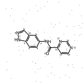 O=C(Nc1ccc2[nH]ncc2c1)c1ccncn1